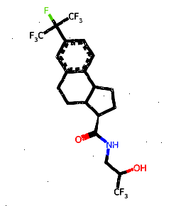 O=C(NCC(O)C(F)(F)F)[C@@H]1CCC2c3ccc(C(F)(C(F)(F)F)C(F)(F)F)cc3CCC21